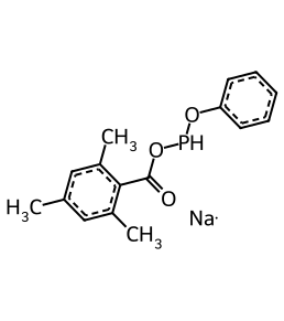 Cc1cc(C)c(C(=O)OPOc2ccccc2)c(C)c1.[Na]